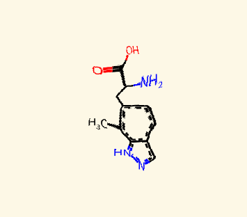 Cc1c(CC(N)C(=O)O)ccc2cn[nH]c12